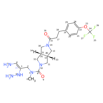 CN(C/C(=C/N)NN)C(=O)N1C[C@H]2CN(C(=O)CCc3ccc(OC(F)(F)F)cc3)C[C@H]2C1